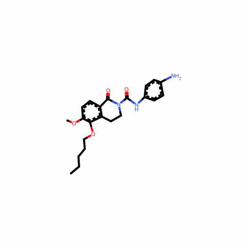 CCCCCOc1c(OC)ccc2c1CCN(C(=O)Nc1ccc(N)cc1)C2=O